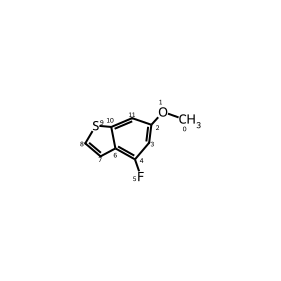 COc1cc(F)c2ccsc2c1